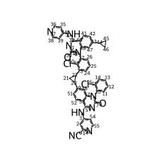 N#Cc1cc(Nc2nc(=O)n(-c3ccccc3Cl)c3cc(C4CC4c4cccc(-n5c(=O)nc(Nc6ccncc6)c6ccc(C7CC7)cc65)c4Cl)ccc23)ccn1